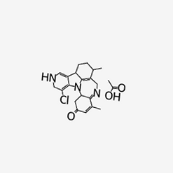 CC(=O)O.CC1=CC(=O)CC2C1=NCC1=C3C(CCC1C)C1=CNCC(Cl)=C1N32